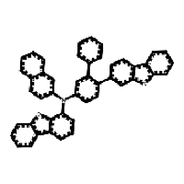 c1ccc(-c2cc(N(c3ccc4ccccc4c3)c3cccc4c3oc3ccccc34)ccc2-c2ccc3c(c2)sc2ccccc23)cc1